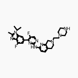 Cc1nc2c(F)cc(-c3nc(Nc4ccc5c(n4)CN(CCN4CCNCC4)CC5)ncc3F)cc2n1C(C)C